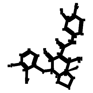 C[C@]12CCCN1N(Cc1cccc(F)c1Br)C(=O)C(C(=O)Nc1ccc(Br)c(F)c1)=C2O